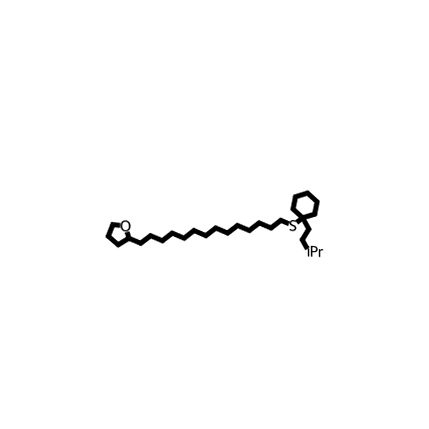 CC(C)CCC1(SCCCCCCCCCCCCCCC2CCCO2)CCCCC1